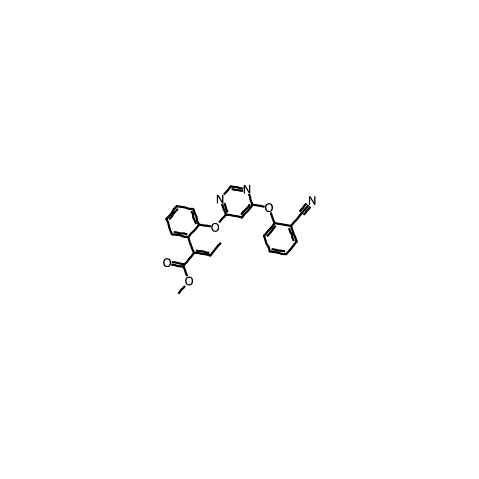 C/C=C(/C(=O)OC)c1ccccc1Oc1cc(Oc2ccccc2C#N)ncn1